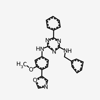 COc1cc(Nc2nc(NCc3ccccc3)nc(-c3ccccc3)n2)ccc1-c1cnco1